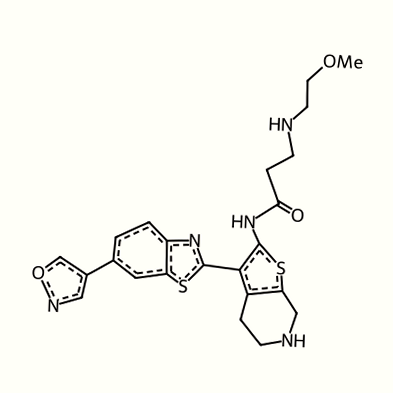 COCCNCCC(=O)Nc1sc2c(c1-c1nc3ccc(-c4cnoc4)cc3s1)CCNC2